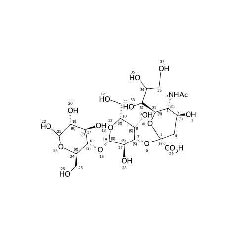 CC(=O)N[C@@H]1[C@@H](O)C[C@](O[C@H]2[C@@H](O)[C@@H](CO)O[C@@H](O[C@H]3[C@H](O)[C@@H](O)C(O)O[C@@H]3CO)[C@@H]2O)(C(=O)O)O[C@H]1C(O)C(O)CO